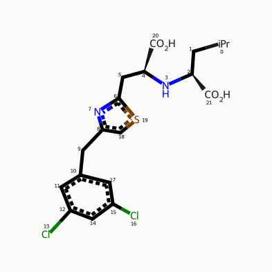 CC(C)C[C@H](N[C@@H](Cc1nc(Cc2cc(Cl)cc(Cl)c2)cs1)C(=O)O)C(=O)O